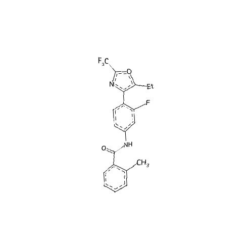 CCc1oc(C(F)(F)F)nc1-c1ccc(NC(=O)c2ccccc2C)cc1F